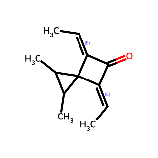 C/C=C1/C(=O)/C(=C/C)C12C(C)C2C